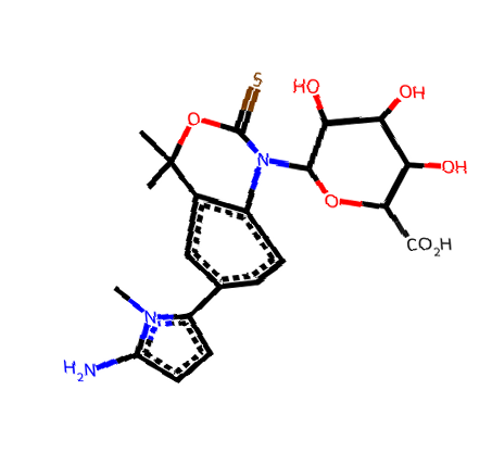 Cn1c(N)ccc1-c1ccc2c(c1)C(C)(C)OC(=S)N2C1OC(C(=O)O)C(O)C(O)C1O